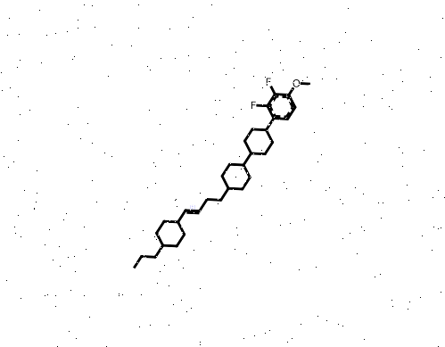 CCCC1CCC(/C=C/CCC2CCC(C3CCC(c4ccc(OC)c(F)c4F)CC3)CC2)CC1